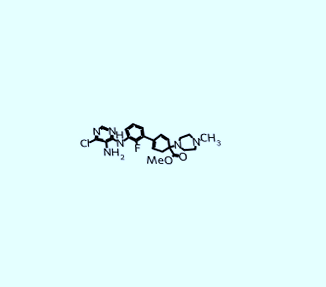 COC(=O)C1(N2CCN(C)CC2)C=CC(c2cccc(Nc3ncnc(Cl)c3N)c2F)=CC1